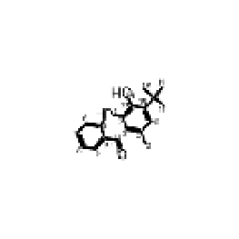 Cc1cc(Pc2ccccc2C=O)c(O)c(C(C)(C)C)c1